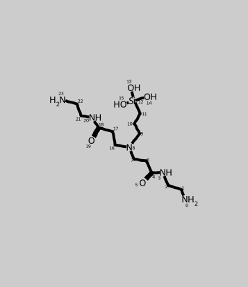 NCCNC(=O)CCN(CCC[Si](O)(O)O)CCC(=O)NCCN